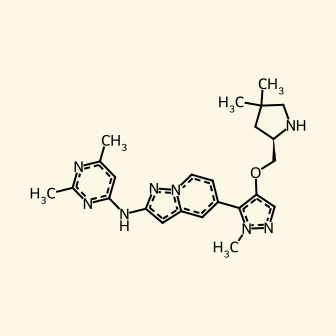 Cc1cc(Nc2cc3cc(-c4c(OC[C@H]5CC(C)(C)CN5)cnn4C)ccn3n2)nc(C)n1